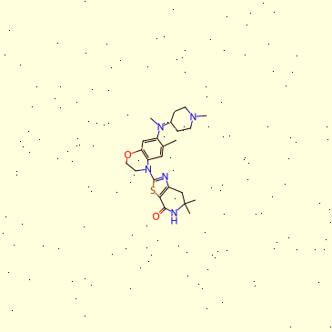 Cc1cc2c(cc1N(C)C1CCN(C)CC1)OCCN2c1nc2c(s1)C(=O)NC(C)(C)C2